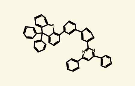 c1ccc(-c2cc(-c3ccccc3)nc(-c3cccc(-c4cccc(-c5cccc6c5Sc5ccccc5C6(c5ccccc5)c5ccccc5)c4)c3)n2)cc1